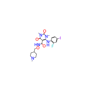 CN1CCC(CONC(=O)c2c(Nc3ccc(I)cc3F)n(C)c(=O)n(C)c2=O)CC1